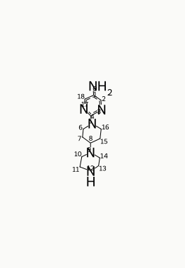 Nc1cnc(N2CCC(N3CCNCC3)CC2)nc1